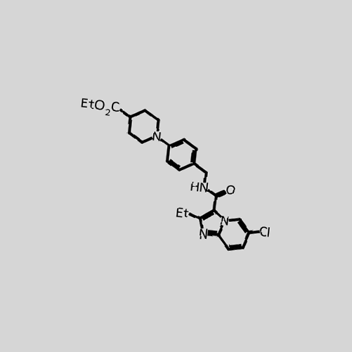 CCOC(=O)C1CCN(c2ccc(CNC(=O)c3c(CC)nc4ccc(Cl)cn34)cc2)CC1